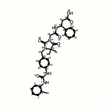 Cc1ccccc1NC(=O)Nc1ccc(CN2C(=O)N(CC(=O)NC(CC(=O)O)c3ccccc3)C(=O)C2(C)C)cc1